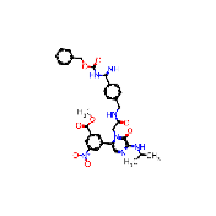 COC(=O)c1cc(-c2cnc(NC(C)C)c(=O)n2CC(=O)NCc2ccc(C(=N)NC(=O)OCc3ccccc3)cc2)cc([N+](=O)[O-])c1